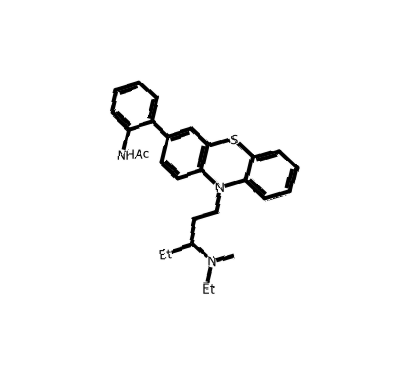 CCC(CCN1c2ccccc2Sc2cc(-c3ccccc3NC(C)=O)ccc21)N(C)CC